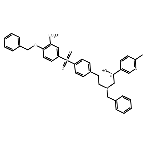 CCOC(=O)c1cc(S(=O)(=O)c2ccc(CCN(Cc3ccccc3)C[C@H](O)c3ccc(C)nc3)cc2)ccc1OCc1ccccc1